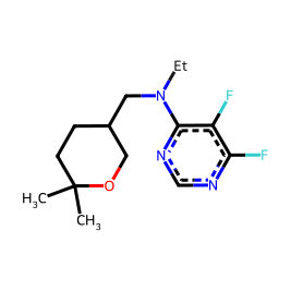 CCN(CC1CCC(C)(C)OC1)c1ncnc(F)c1F